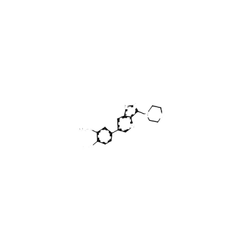 COc1cc(-c2cnc3c(N4CCOCC4)snc3c2)ccc1OC(C)=O